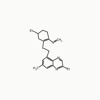 C=NC1=C(SCc2cc(C)cc3nc(CC)cnc23)CC(CC)CC1